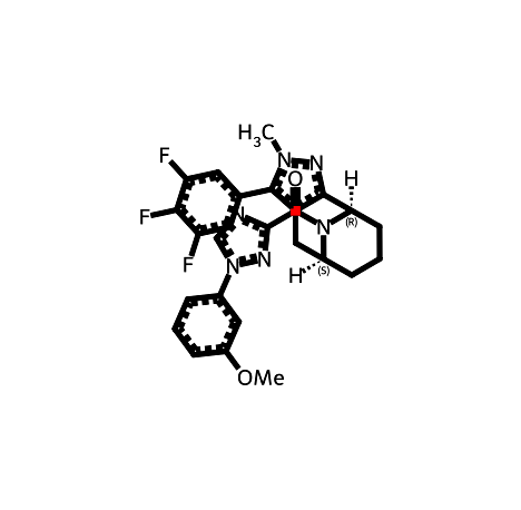 COc1cccc(-n2cnc(C(=O)N3[C@H]4CCC[C@@H]3c3nn(C)c(-c5cc(F)c(F)c(F)c5)c3C4)n2)c1